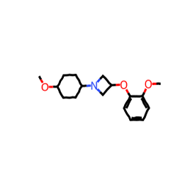 COc1ccccc1OC1CN(C2CCC(OC)CC2)C1